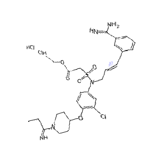 CCOC(=O)CS(=O)(=O)N(C/C=C/c1cccc(C(=N)N)c1)c1ccc(OC2CCN(C(=N)CC)CC2)c(Cl)c1.Cl.Cl